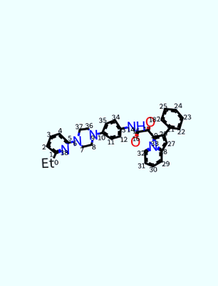 CCc1cccc(N2CCN(c3ccc(NC(=O)C(=O)c4c(-c5ccccc5)cc5ccccn45)cc3)CC2)n1